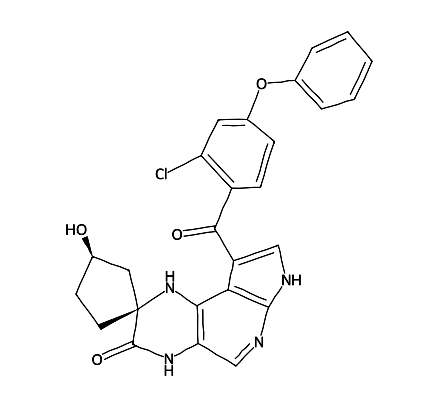 O=C(c1ccc(Oc2ccccc2)cc1Cl)c1c[nH]c2ncc3c(c12)N[C@]1(CC[C@@H](O)C1)C(=O)N3